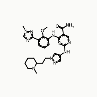 COc1c(Nc2nc(Nc3cnn(CCC4CCCCN4C)c3)ncc2C(N)=O)cccc1-c1ncn(C)n1